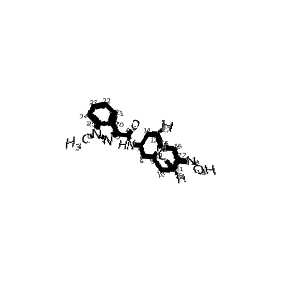 Cn1nc(C(=O)NC2CC3C[C@@H]4C[C@H](C2)N3C/C4=N/O)c2ccccc21